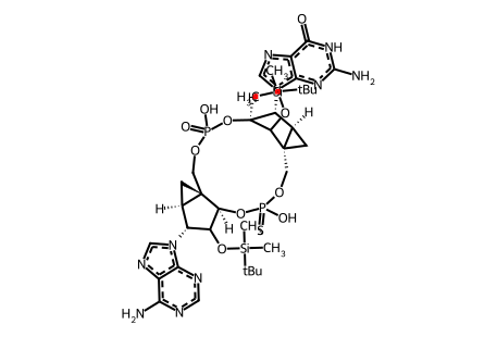 CC(C)(C)[Si](C)(C)OC1[C@H](n2cnc3c(N)ncnc32)[C@H]2C[C@]23COP(=O)(O)O[C@@H]2C(O[Si](C)(C)C(C)(C)C)[C@]4(COP(O)(=S)O[C@@H]13)C[C@@H]4[C@H]2n1cnc2c(=O)[nH]c(N)nc21